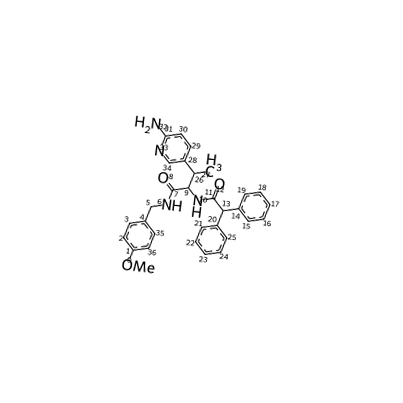 COc1ccc(CNC(=O)C(NC(=O)C(c2ccccc2)c2ccccc2)C(C)c2ccc(N)nc2)cc1